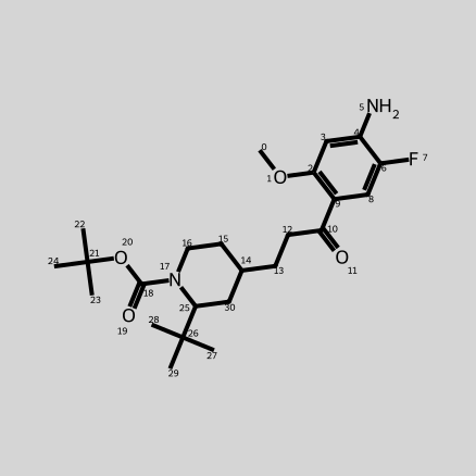 COc1cc(N)c(F)cc1C(=O)CCC1CCN(C(=O)OC(C)(C)C)C(C(C)(C)C)C1